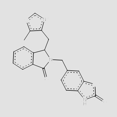 Cc1ocnc1CC1c2ccccc2C(=O)N1Cc1ccc2[nH]c(=O)oc2c1